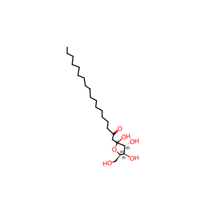 CCCCCCCCCCCCCCCCC(=O)C[C@@]1(O)O[C@H](CO)[C@H](O)[C@H]1O